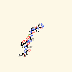 CC[C@H](NC(=O)[C@H]([C@@H]1OCC[C@H]1C)N(C)C(=O)[C@H](C(C)C)N(C)C(=O)[C@H](CC(C)C)N(C)C(=O)CCC(C)C)C(=O)N(C)[C@@H](C(=O)N(C)[C@@H](CC(C)C)C(=O)N[C@H](C(=O)N(C)[C@@H](CC(C)C)C(N)=O)C(C)C)C(F)F